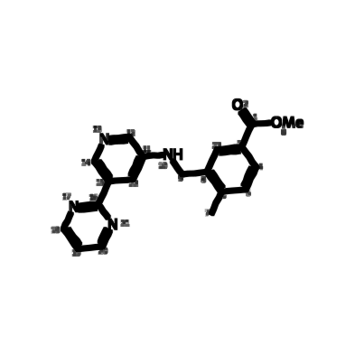 COC(=O)c1ccc(C)c(CNc2cncc(-c3ncccn3)c2)c1